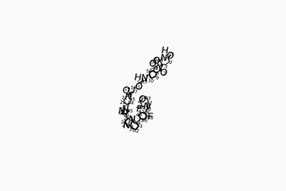 O=C1CCC(N2C(=O)c3ccc(NCCOCCC(=O)N4CCC(n5cc(-c6cnc7cccc(-c8cc(F)c(CN9CCOCC9)c(F)c8)c7n6)cn5)CC4)cc3C2=O)C(=O)N1